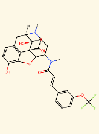 CN(C(=O)/C=C/c1cccc(OC(F)(F)F)c1)C1CC[C@@]2(O)[C@H]3Cc4ccc(O)c5c4[C@@]2(C(O)CN3C)C1O5